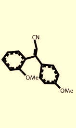 COc1ccc(C(=CC#N)c2ccccc2OC)cc1